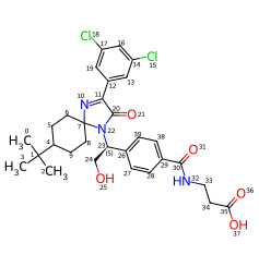 CC(C)(C)C1CCC2(CC1)N=C(c1cc(Cl)cc(Cl)c1)C(=O)N2[C@H](CO)c1ccc(C(=O)NCCC(=O)O)cc1